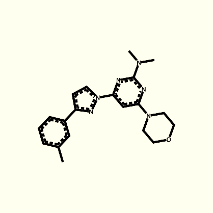 Cc1cccc(-c2ccn(-c3cc(N4CCOCC4)nc(N(C)C)n3)n2)c1